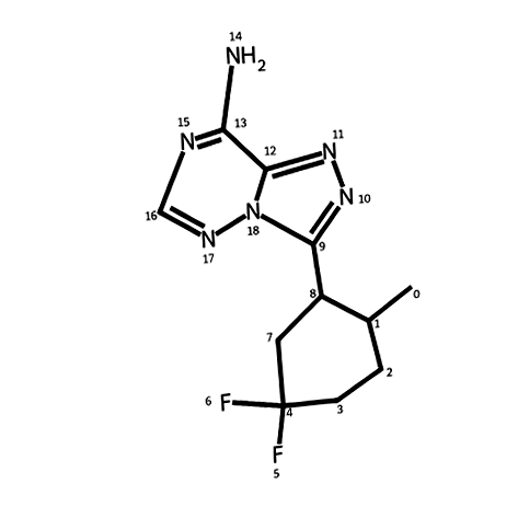 CC1CCC(F)(F)CC1c1nnc2c(N)ncnn12